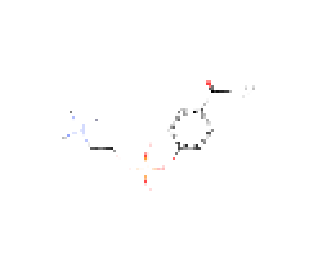 COC(=O)c1ccc(OP(=O)([O-])OCC[N+](C)(C)C)cc1